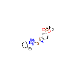 CCc1ccccc1-n1nnc(Sc2nc3ccc(S(C)(=O)=O)cc3s2)n1